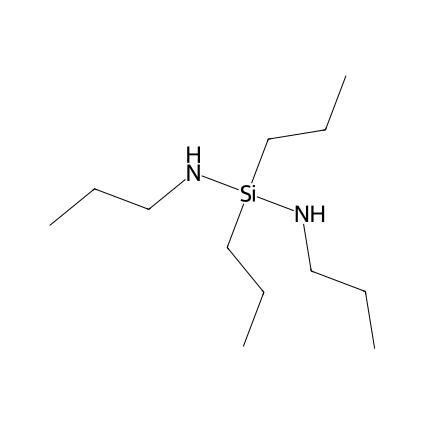 CCCN[Si](CCC)(CCC)NCCC